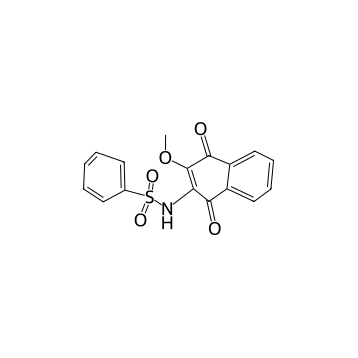 COC1=C(NS(=O)(=O)c2ccccc2)C(=O)c2ccccc2C1=O